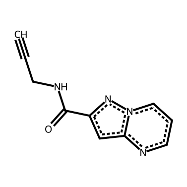 C#CCNC(=O)c1cc2ncccn2n1